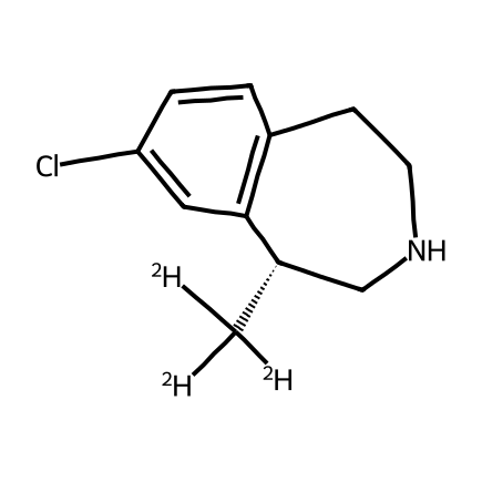 [2H]C([2H])([2H])[C@H]1CNCCc2ccc(Cl)cc21